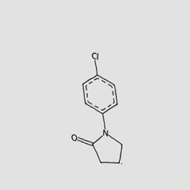 O=C1C[CH]CN1c1ccc(Cl)cc1